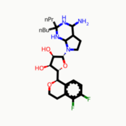 CCCCC1(CCC)NC(N)C2CCN([C@@H]3O[C@H]([C@@H]4OCCc5c4ccc(F)c5F)[C@@H](O)[C@H]3O)C2N1